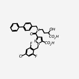 O=C(O)c1cc(C(=O)N(CCC(O)C(=O)O)Cc2ccc(-c3ccccc3)cc2)nn1Cc1c(F)cc(Cl)cc1F